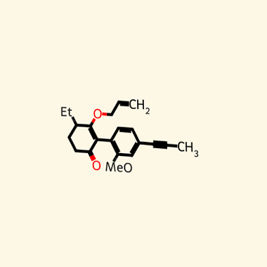 C=CCOC1=C(c2ccc(C#CC)cc2OC)C(=O)CCC1CC